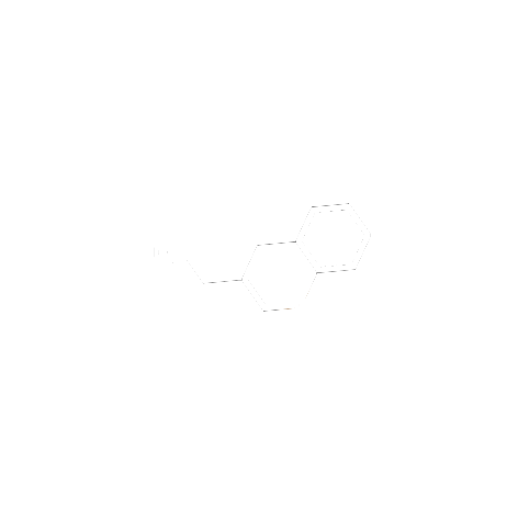 O=C(O)CC1=CSc2ccccc2C1